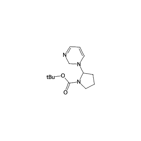 CC(C)(C)OC(=O)N1CCCC1N1C=CC=NC1